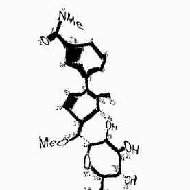 CNC(=O)c1cccc(-c2ccc(C(OC)[C@H]3O[C@H](CO)[C@@H](O)[C@H](O)[C@@H]3O)cc2C)c1